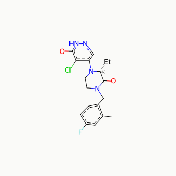 CC[C@@H]1C(=O)N(Cc2ccc(F)cc2C)CCN1c1cn[nH]c(=O)c1Cl